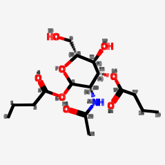 CCCC(=O)OC1O[C@H](CO)[C@@H](O)[C@H](OC(=O)CCC)[C@@H]1NC(C)=O